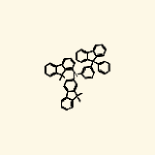 CC1(C)c2ccccc2-c2ccc(N(c3cccc(C4(c5ccccc5)c5ccccc5-c5ccccc54)c3)c3cccc4c3C(C)(C)c3ccccc3-4)cc21